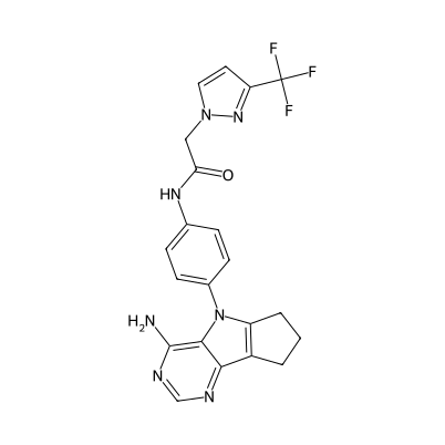 Nc1ncnc2c3c(n(-c4ccc(NC(=O)Cn5ccc(C(F)(F)F)n5)cc4)c12)CCC3